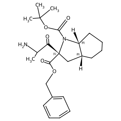 CC(N)C(=O)[C@]1(C(=O)OCc2ccccc2)C[C@H]2CCCC[C@H]2N1C(=O)OC(C)(C)C